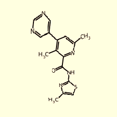 Cc1csc(NC(=O)c2nc(C)cc(-c3cncnc3)c2C)n1